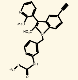 C#Cc1ccc2c(c1)c(-c1cccnc1OC)c(C(=O)O)n2Cc1ccnc(NC(=O)OC(C)(C)C)c1